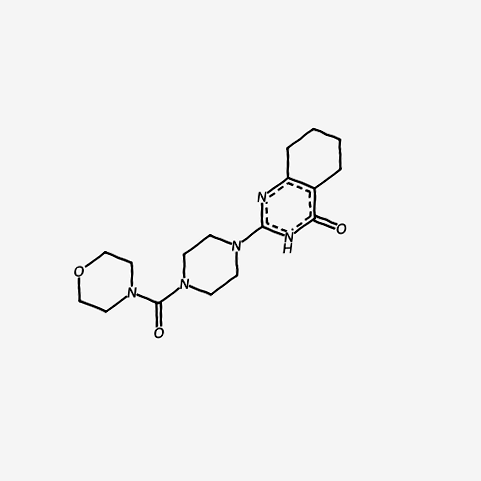 O=C(N1CCOCC1)N1CCN(c2nc3c(c(=O)[nH]2)CCCC3)CC1